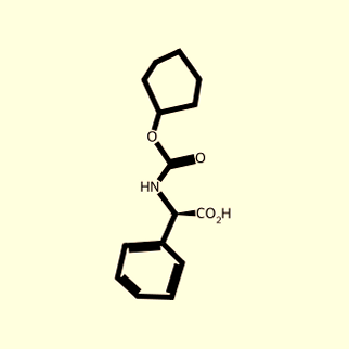 O=C(N[C@@H](C(=O)O)c1ccccc1)OC1CCCCC1